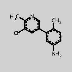 Cc1ccc(N)cc1-c1cnc(C)c(Cl)c1